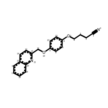 N#CCCCOc1ccc(OCc2ccc3ccccc3n2)cc1